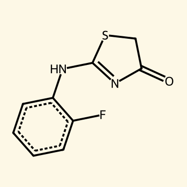 O=C1CSC(Nc2ccccc2F)=N1